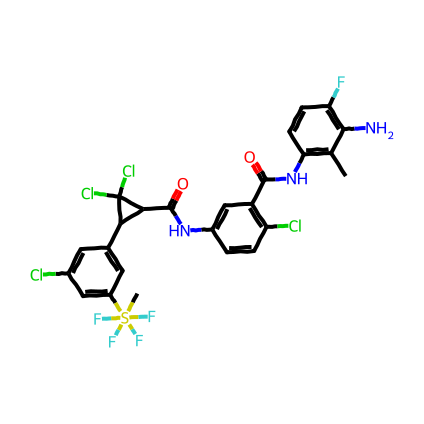 Cc1c(NC(=O)c2cc(NC(=O)C3C(c4cc(Cl)cc(S(C)(F)(F)(F)F)c4)C3(Cl)Cl)ccc2Cl)ccc(F)c1N